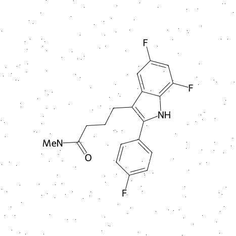 CNC(=O)CCCc1c(-c2ccc(F)cc2)[nH]c2c(F)cc(F)cc12